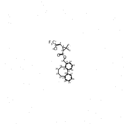 CC1(C)[C@H](C=C(Cl)C(F)(F)F)[C@@H]1C(=O)OCc1cccc2c1CCCCc1ccccc1-2